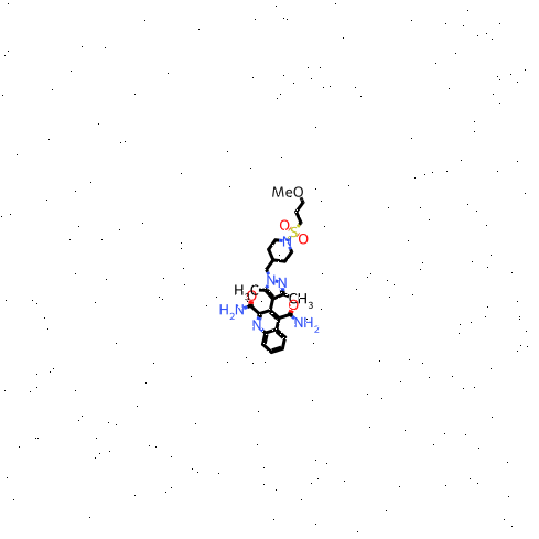 COCCCS(=O)(=O)N1CCC(Cn2nc(C)c(-c3c(C(N)=O)nc4ccccc4c3C(N)=O)c2C)CC1